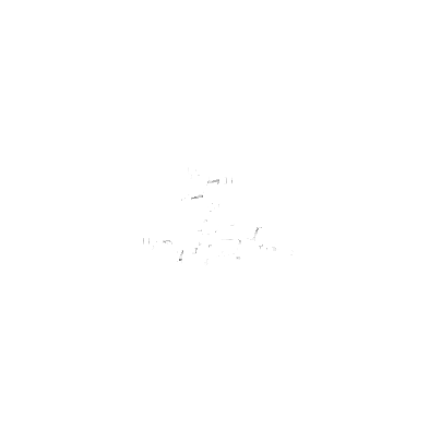 C=C(C)C(=O)OCC12CC3CC(C(=O)OC)(C1)CC(C(=O)OC)(C3)C2